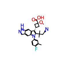 CO[C@]1(C(=O)O)C[C@H](c2c(C(C)(C)CC#N)n(-c3ccc(F)c(C)c3)c3cc4cn[nH]c4cc32)C1